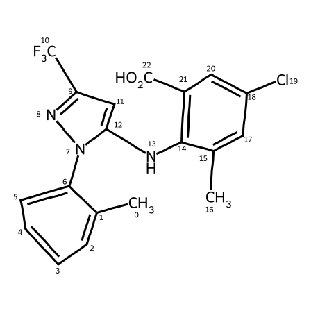 Cc1ccccc1-n1nc(C(F)(F)F)cc1Nc1c(C)cc(Cl)cc1C(=O)O